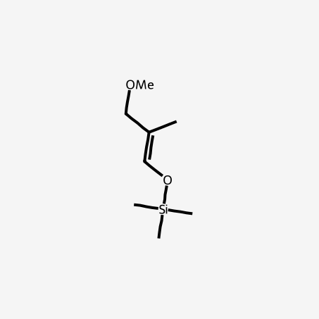 COC/C(C)=C/O[Si](C)(C)C